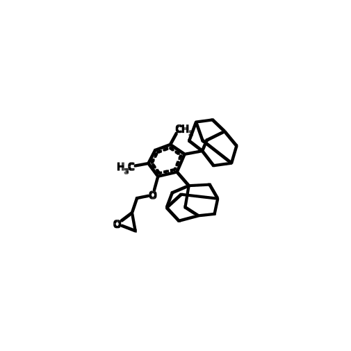 Cc1cc(C)c(C23CC4CC(CC(C4)C2)C3)c(C23CC4CC(CC(C4)C2)C3)c1OCC1CO1